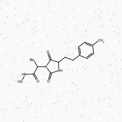 CCC(C)C(C(=O)NO)N1C(=O)NC(CCc2ccc(C)cc2)C1=O